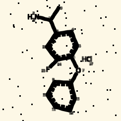 CC(N)c1ccc(Oc2ccccc2)c(F)c1.Cl